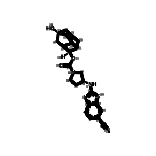 N#Cc1ccc2nc(N[C@@H]3CCN(C(=O)O[C@H]4C5CC6CC4C[C@](O)(C6)C5)C3)sc2c1